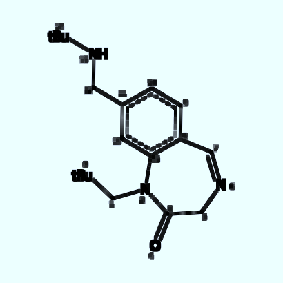 CC(C)(C)CN1C(=O)CN=Cc2ccc(CNC(C)(C)C)cc21